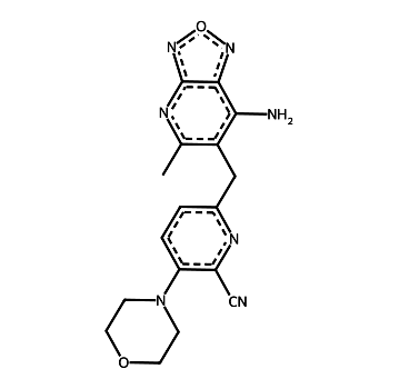 Cc1nc2nonc2c(N)c1Cc1ccc(N2CCOCC2)c(C#N)n1